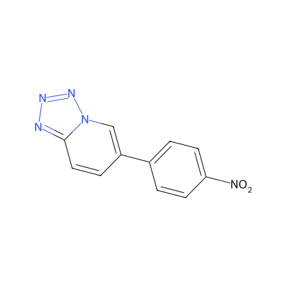 O=[N+]([O-])c1ccc(-c2ccc3nnnn3c2)cc1